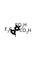 Cc1c(C(=O)O)cccc1C(=O)O.FC(F)(F)c1ccc(I)cc1